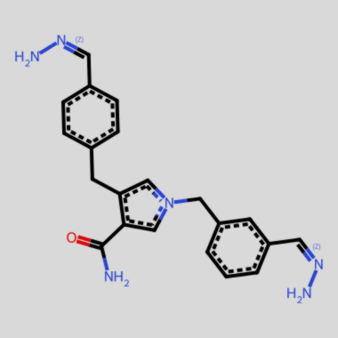 N/N=C\c1ccc(Cc2cn(Cc3cccc(/C=N\N)c3)cc2C(N)=O)cc1